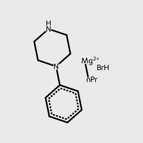 Br.CC[CH2][Mg+2].c1ccc(N2CCNCC2)cc1